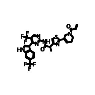 C=CC(=O)N1CCC=C(c2nc(C(C)C(=O)Nc3ncc(C(F)(F)F)c(-c4c[nH]c5cc(C(F)(F)F)ccc45)n3)cs2)C1